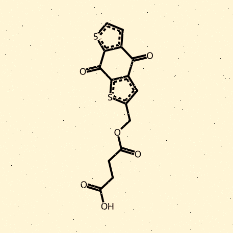 O=C(O)CCC(=O)OCc1cc2c(s1)C(=O)c1sccc1C2=O